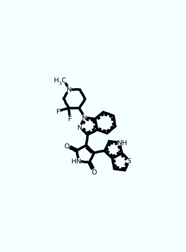 CN1CCC(n2nc(C3=C(c4c[nH]c5sccc45)C(=O)NC3=O)c3ccccc32)C(F)(F)C1